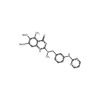 COc1cc2[nH]c(N(C)Cc3cccc(Nc4ncccn4)c3)nc(=O)c2c(C)c1OC